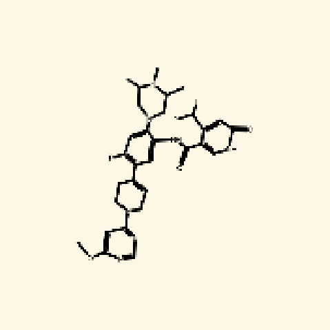 COc1cc(N2CC=C(c3cc(NC(=O)c4c[nH]c(=O)cc4C(F)F)c(N4CC(C)N(C)C(C)C4)cc3F)CC2)ncn1